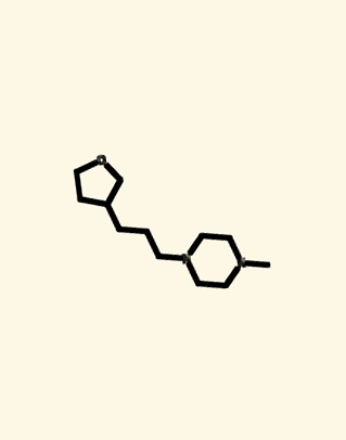 CN1CCN(CCCC2CCOC2)CC1